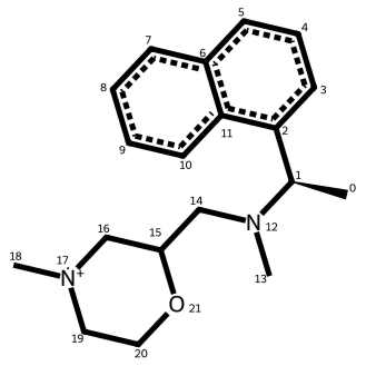 C[C@H](c1cccc2ccccc12)N(C)CC1C[N+](C)CCO1